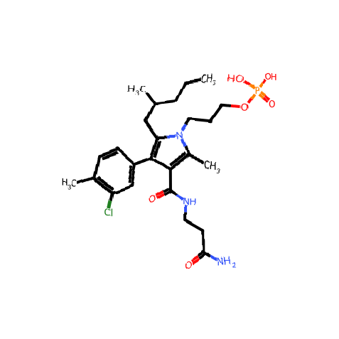 CCCC(C)Cc1c(-c2ccc(C)c(Cl)c2)c(C(=O)NCCC(N)=O)c(C)n1CCCOP(=O)(O)O